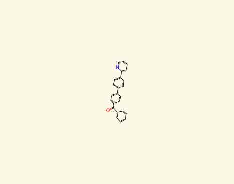 O=C(c1ccccc1)c1ccc(-c2ccc(-c3ccccn3)cc2)cc1